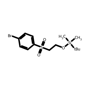 CC(C)(C)[Si](C)(C)OCCS(=O)(=O)c1ccc(Br)cc1